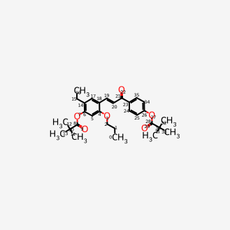 CCCOc1cc(OC(=O)C(C)(C)C)c(CC)cc1/C=C/C(=O)c1ccc(OC(=O)C(C)(C)C)cc1